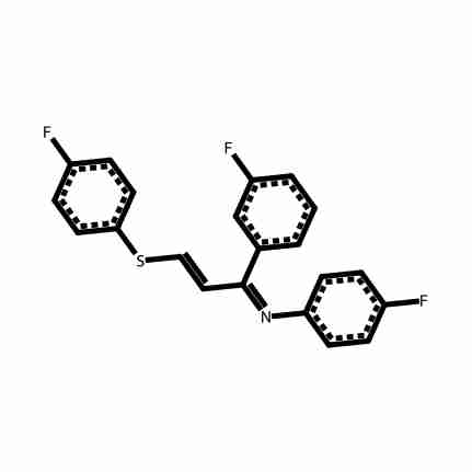 Fc1ccc(/N=C(/C=C/Sc2ccc(F)cc2)c2cccc(F)c2)cc1